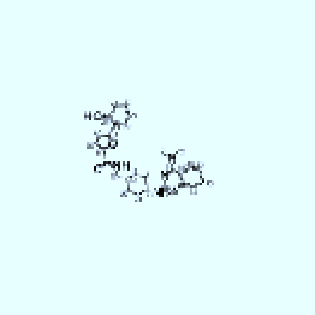 CN(C)c1nc(N[C@H]2CC[C@@H](CNC(=O)c3ccc(-c4ccccc4O)o3)CC2)nc2ccccc12